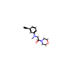 C#Cc1cccc(N(C)CC(=O)N2CCOCC2)c1